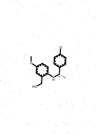 COc1ccc(N[C@@H](C)c2ccc(Cl)cc2)c(CO)c1